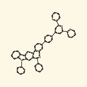 c1ccc(-c2nc3cc(-c4ccc(-c5cc(-c6ccccn6)nc(-c6ccccn6)c5)cc4)ccc3c3cc4c5ccccc5n(-c5ccccc5)c4cc23)cc1